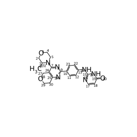 C[C@H]1COCCN1c1nc(-c2ccc(Nc3nccc(=O)[nH]3)cc2)nc2c1COCC2